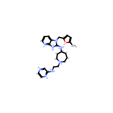 Cc1ccc(CN2c3cccnc3NC2NC2CCCN(CCNc3cnccn3)CC2)o1